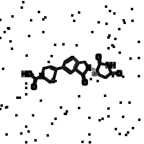 O=C1CC[C@H](N2Cc3ccc(C4=CCN(C(=O)O)CC4)cc3C2=O)C(=O)N1